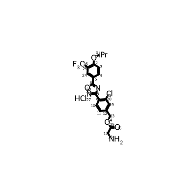 CC(C)Oc1ccc(-c2nc(-c3ccc(COC(=O)CN)cc3Cl)no2)cc1C(F)(F)F.Cl